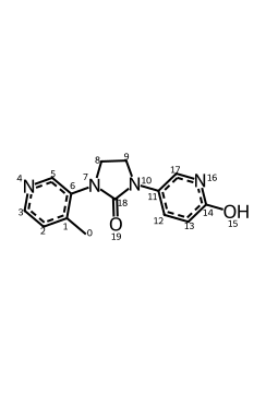 Cc1ccncc1N1CCN(c2ccc(O)nc2)C1=O